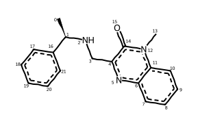 C[C@@H](NCc1nc2ccccc2n(C)c1=O)c1ccccc1